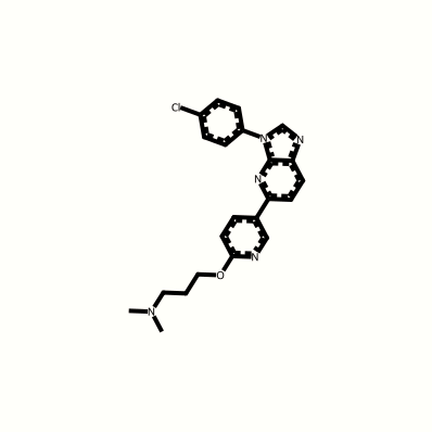 CN(C)CCCOc1ccc(-c2ccc3ncn(-c4ccc(Cl)cc4)c3n2)cn1